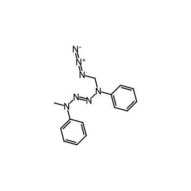 CN(/N=N/N(CN=[N+]=[N-])c1ccccc1)c1ccccc1